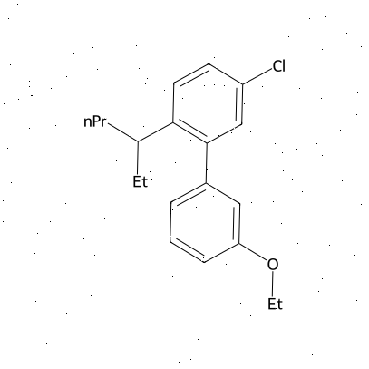 CCCC(CC)c1ccc(Cl)cc1-c1cccc(OCC)c1